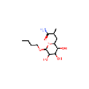 CCCCOC1OC([CH]C(C)C(N)=O)C(O)C(O)C1O